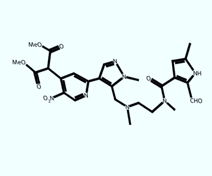 COC(=O)C(C(=O)OC)c1cc(-c2cnn(C)c2CN(C)CCN(C)C(=O)c2cc(C)[nH]c2C=O)ncc1[N+](=O)[O-]